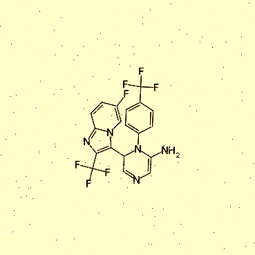 NC1=CN=CC(c2c(C(F)(F)F)nc3ccc(F)cn23)N1c1ccc(C(F)(F)F)cc1